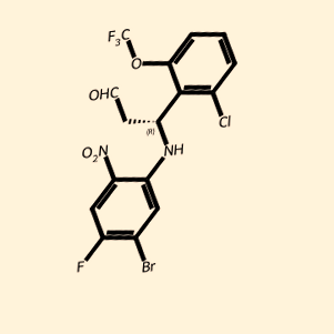 O=CC[C@@H](Nc1cc(Br)c(F)cc1[N+](=O)[O-])c1c(Cl)cccc1OC(F)(F)F